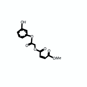 COC(=O)/C=C\C(=O)OCC(=O)Oc1cccc(O)c1